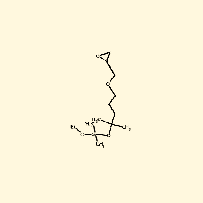 CCO[Si](C)(C)OC(C)(C)CCCOCC1CO1